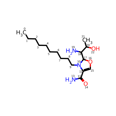 CCCCCCCCCCN1C(C(N)=O)=COC1C(N)C(C)O